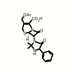 CC(=O)OCC1=C(C(=O)O)N2C(=O)[C@@H](N3C(=O)C(c4ccccc4)NC3(C)C)[C@H]2SC1